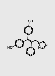 Oc1ccc(C(=C(Cn2cncn2)c2ccccc2)c2ccc(O)cc2)cc1